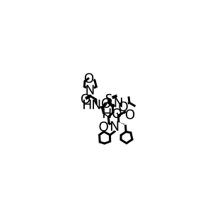 CC(C)OC(=O)[C@H](O)[C@H](CC1CCCCC1)N(CC1CCCCC1)C(=O)[C@@H](CC(=O)NCC(=O)N1CCOCC1)Cc1cscn1